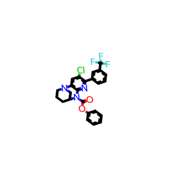 O=C(Oc1ccccc1)N1c2nc(-c3cccc(C(F)(F)F)c3)c(Cl)cc2N2CCCC1C2